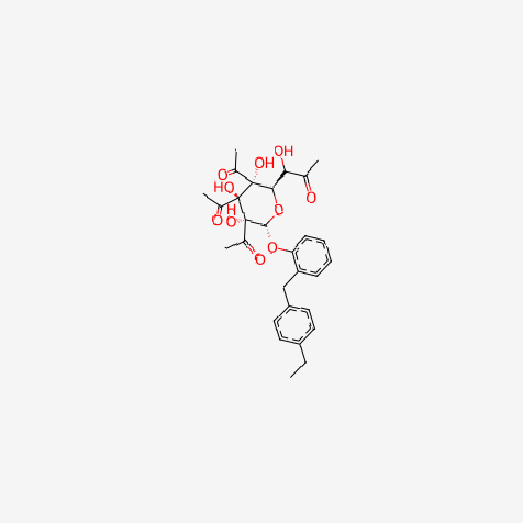 CCc1ccc(Cc2ccccc2O[C@H]2O[C@H](C(O)C(C)=O)[C@](O)(C(C)=O)[C@@](O)(C(C)=O)[C@]2(O)C(C)=O)cc1